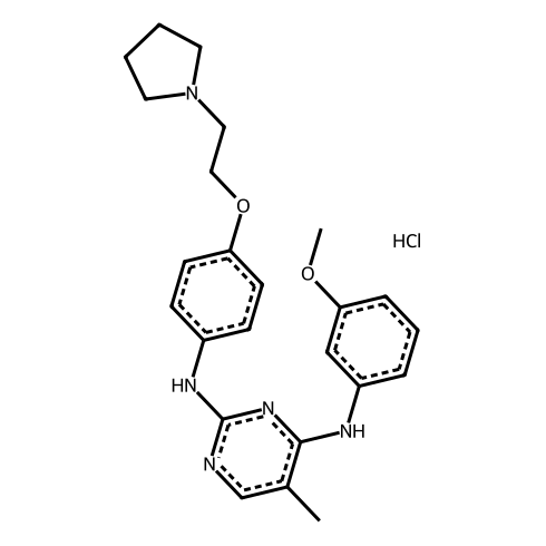 COc1cccc(Nc2nc(Nc3ccc(OCCN4CCCC4)cc3)ncc2C)c1.Cl